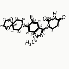 Cn1nc(N2CCC(=O)NC2=O)c2cc(F)c(N3CCC4(CC3)OCCO4)cc21